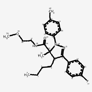 CCCCC1C(c2ccc(F)cc2)=NN(c2ccc(C)cc2)C1(C)C(=O)NCCOC